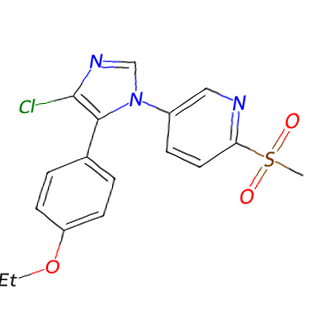 CCOc1ccc(-c2c(Cl)ncn2-c2ccc(S(C)(=O)=O)nc2)cc1